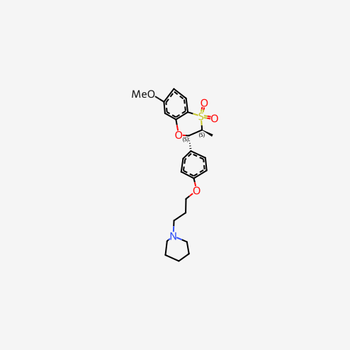 COc1ccc2c(c1)O[C@@H](c1ccc(OCCCN3CCCCC3)cc1)[C@H](C)S2(=O)=O